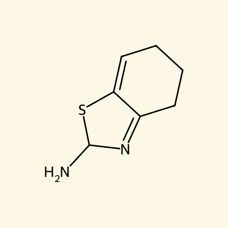 NC1N=C2CCCC=C2S1